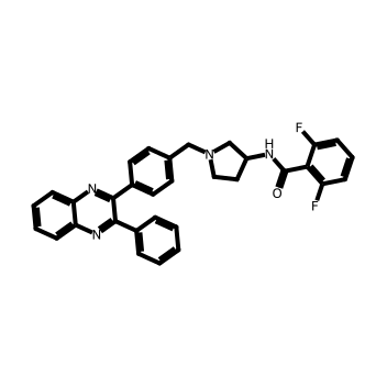 O=C(NC1CCN(Cc2ccc(-c3nc4ccccc4nc3-c3ccccc3)cc2)C1)c1c(F)cccc1F